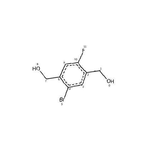 OCc1cc(Br)c(CO)cc1F